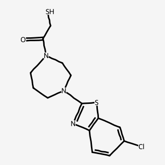 O=C(CS)N1CCCN(c2nc3ccc(Cl)cc3s2)CC1